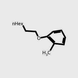 CCCCCCCCOc1[c]cccc1C